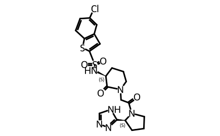 O=C1[C@@H](NS(=O)(=O)c2cc3cc(Cl)ccc3s2)CCCN1CC(=O)N1CCC[C@H]1c1nnc[nH]1